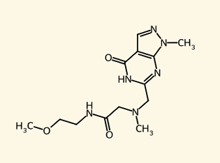 COCCNC(=O)CN(C)Cc1nc2c(cnn2C)c(=O)[nH]1